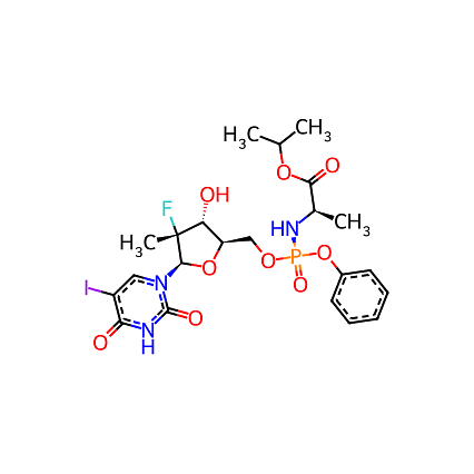 CC(C)OC(=O)[C@@H](C)N[P@@](=O)(OC[C@H]1O[C@@H](n2cc(I)c(=O)[nH]c2=O)[C@](C)(F)[C@@H]1O)Oc1ccccc1